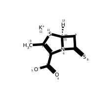 CC1=C(C(=O)[O-])N2C(=S)C[C@@H]2S1.[K+]